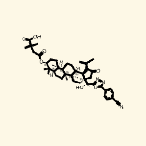 CC(C)C1=C2[C@H]3CC[C@@H]4[C@@]5(C)CC[C@H](OC(=O)CC(C)(C)C(=O)O)C(C)(C)[C@@H]5CC[C@@]4(C)[C@]3(C)CC[C@@]2([C@@H](O)c2nnc(-c3ccc(C#N)cc3)o2)CC1=O